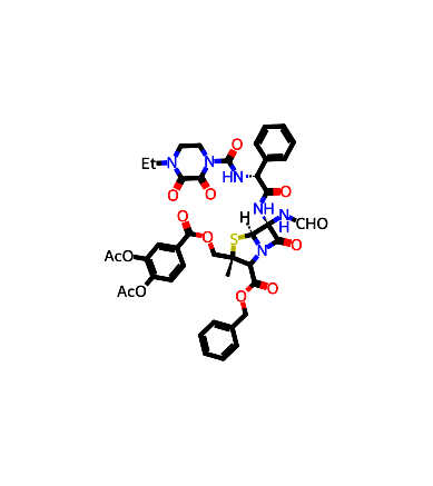 CCN1CCN(C(=O)N[C@@H](C(=O)N[C@]2(NC=O)C(=O)N3C(C(=O)OCc4ccccc4)[C@](C)(COC(=O)c4ccc(OC(C)=O)c(OC(C)=O)c4)S[C@H]32)c2ccccc2)C(=O)C1=O